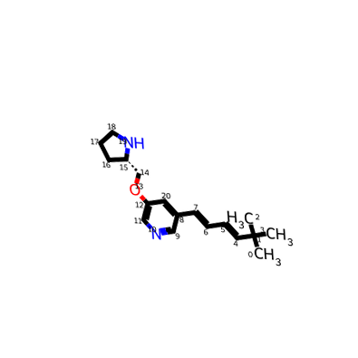 CC(C)(C)C=CC=Cc1cncc(OC[C@@H]2CCCN2)c1